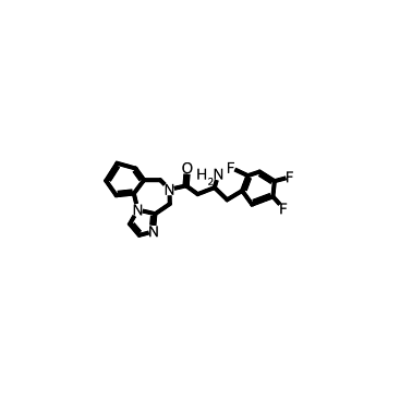 NC(CC(=O)N1Cc2ccccc2-n2ccnc2C1)Cc1cc(F)c(F)cc1F